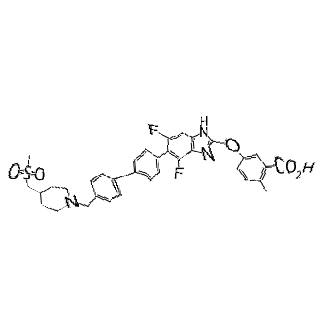 Cc1ccc(Oc2nc3c(F)c(-c4ccc(-c5ccc(CN6CCC(CS(C)(=O)=O)CC6)cc5)cc4)c(F)cc3[nH]2)cc1C(=O)O